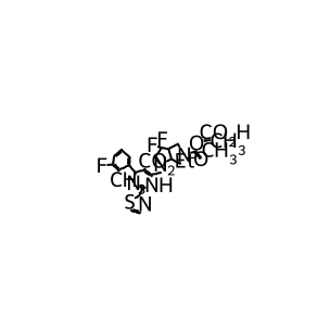 CCOC(=O)C1=C(CN2CC(F)(F)C3CN(C(=O)OC(C)(C)C(=O)O)CC32)NC(c2nccs2)=NC1c1cccc(F)c1C